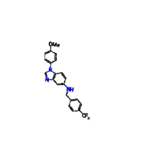 COc1ccc(-n2cnc3cc(NCc4ccc(C(F)(F)F)cc4)ccc32)cc1